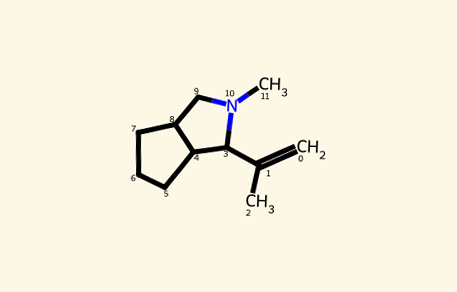 C=C(C)C1C2CCCC2CN1C